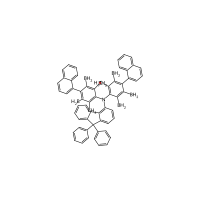 Bc1c(B)c(N(c2cccc3c2-c2ccccc2C3(c2ccccc2)c2ccccc2)c2c(B)c(B)c(-c3cccc4ccccc34)c(B)c2C)c(C)c(B)c1-c1cccc2ccccc12